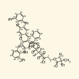 CCN(CCOC(=O)C(C)(C)CC)S(=O)(=O)C(F)(F)S(=O)(=O)NS(=O)(=O)c1ccccc1-c1c2cc/c(=N\c3c(C(C)C)cccc3C(C)C)cc-2oc2cc(Nc3c(C(C)C)cccc3C(C)C)ccc12